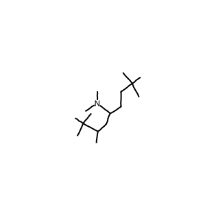 CC(CC(CCC(C)(C)C)N(C)C)C(C)(C)C